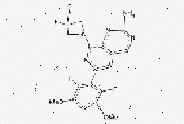 COc1cc(OC)c(F)c(-c2cc3cnc(N)nc3c(N3CC(F)(F)C3)n2)c1F